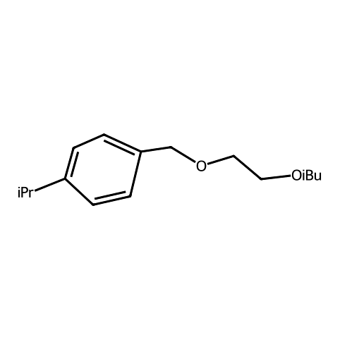 CC(C)COCCOCc1ccc(C(C)C)cc1